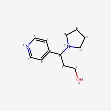 OCCC(c1ccncc1)N1CCCC1